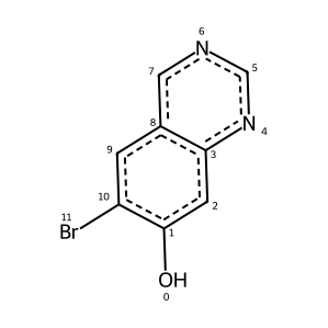 Oc1cc2ncncc2cc1Br